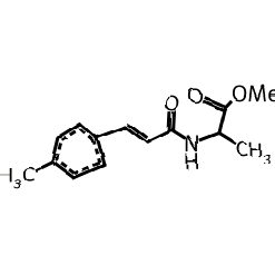 COC(=O)C(C)NC(=O)/C=C/c1ccc(C)cc1